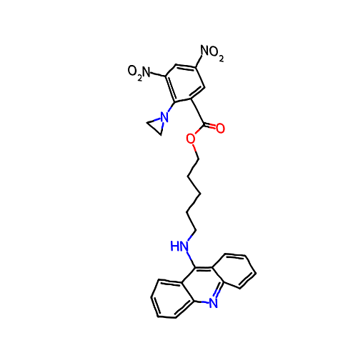 O=C(OCCCCCNc1c2ccccc2nc2ccccc12)c1cc([N+](=O)[O-])cc([N+](=O)[O-])c1N1CC1